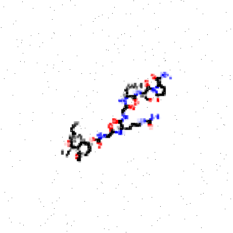 CO[C@@H]1[C@H](OC(=O)NCC(=O)N[C@@H](CCCNC(N)=O)C(=O)NCC(=O)N[C@@H](CC(=O)O)C(=O)N[C@@H](CO)C(=O)N2CCCC2C(N)=O)CC[C@]2(CO2)[C@H]1[C@@]1(C)O[C@@H]1CCC(C)C